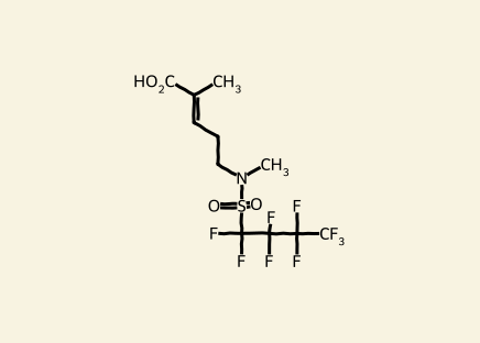 CC(=CCCN(C)S(=O)(=O)C(F)(F)C(F)(F)C(F)(F)C(F)(F)F)C(=O)O